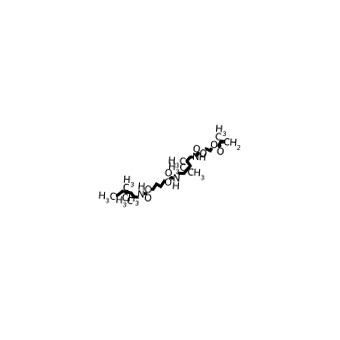 C=C(C)C(=O)OCCOC(=O)NCC(C)CC(C)(C)CCNC(=O)OCCCCOC(=O)NCC(C)CC(C)(C)CCC